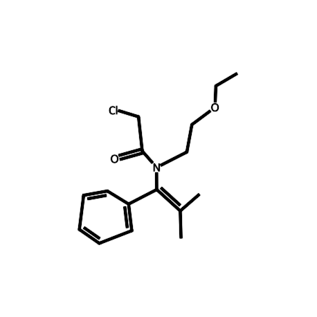 CCOCCN(C(=O)CCl)C(=C(C)C)c1ccccc1